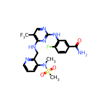 CN(c1cccnc1CNc1nc(Nc2cc(C(N)=O)ccc2F)ncc1C(F)(F)F)S(C)(=O)=O